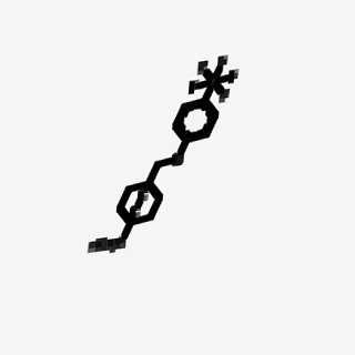 CCCCCCCC12CCC(COc3ccc(S(F)(F)(F)(F)F)cc3)(CC1)CC2